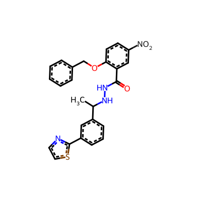 CC(NNC(=O)c1cc([N+](=O)[O-])ccc1OCc1ccccc1)c1cccc(-c2nccs2)c1